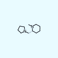 CN1CCCC[C@@H]1CN1CCCC1